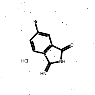 Cl.N=C1NC(=O)c2cc(Br)ccc21